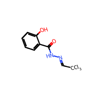 O=C(NN=CC(Cl)(Cl)Cl)c1ccccc1O